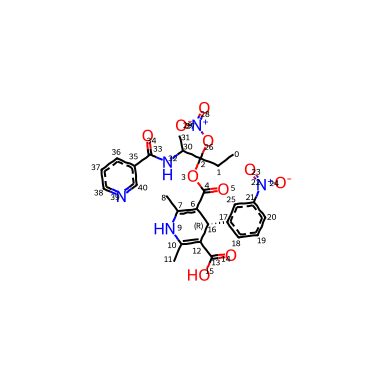 CCC(OC(=O)C1=C(C)NC(C)=C(C(=O)O)[C@H]1c1cccc([N+](=O)[O-])c1)(O[N+](=O)[O-])C(C)NC(=O)c1cccnc1